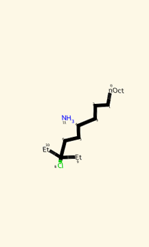 CCCCCCCCCCCCCCC(Cl)(CC)CC.N